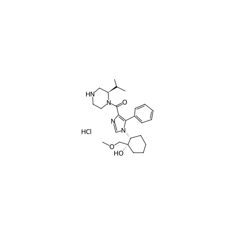 COC[C@]1(O)CCCC[C@H]1n1cnc(C(=O)N2CCNC[C@H]2C(C)C)c1-c1ccccc1.Cl